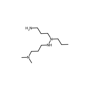 CCCN(CCCN)NCCCN(C)C